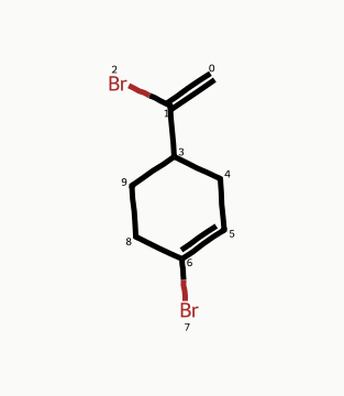 C=C(Br)C1CC=C(Br)CC1